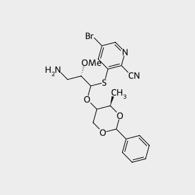 CO[C@@H](CN)C(OC1COC(c2ccccc2)O[C@@H]1C)Sc1cc(Br)cnc1C#N